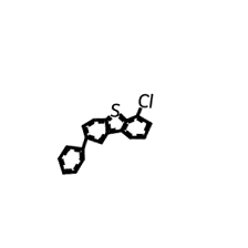 Clc1cccc2c1sc1ccc(-c3ccccc3)cc12